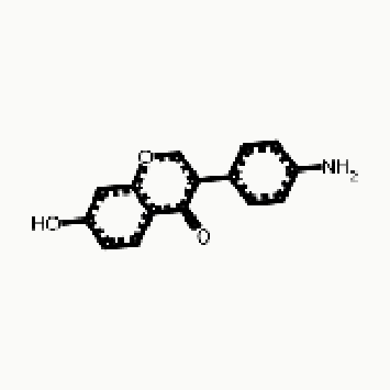 Nc1ccc(-c2coc3cc(O)ccc3c2=O)cc1